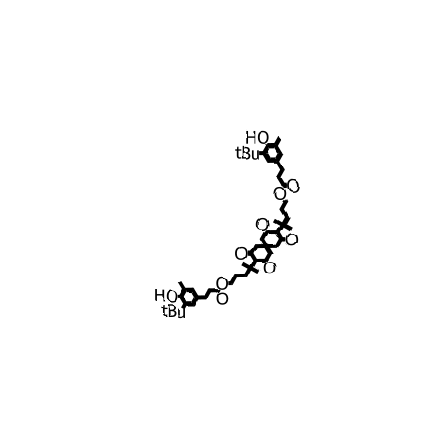 Cc1cc(CCC(=O)OCCCC(C)(C)C2C(=O)CC3(CC2=O)CC(=O)C(C(C)(C)CCCOC(=O)CCc2cc(C)c(O)c(C(C)(C)C)c2)C(=O)C3)cc(C(C)(C)C)c1O